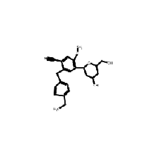 CCc1ccc(Cc2cc(C3CC(O)CC(CO)O3)c(OC)cc2C#N)cc1